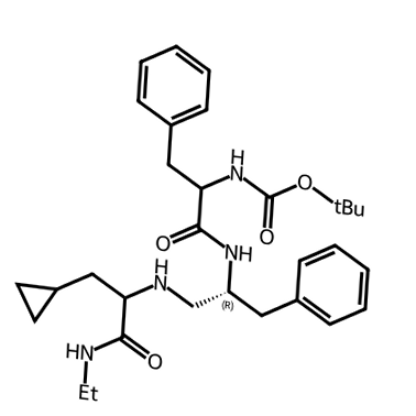 CCNC(=O)C(CC1CC1)NC[C@@H](Cc1ccccc1)NC(=O)C(Cc1ccccc1)NC(=O)OC(C)(C)C